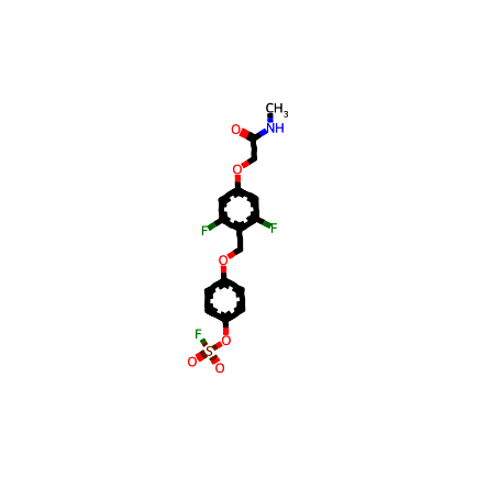 CNC(=O)COc1cc(F)c(COc2ccc(OS(=O)(=O)F)cc2)c(F)c1